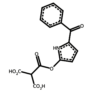 O=C(c1ccccc1)c1ccc(OC(=O)C(C(=O)O)C(=O)O)[nH]1